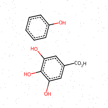 O=C(O)c1cc(O)c(O)c(O)c1.Oc1ccccc1